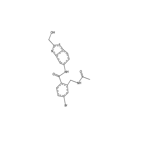 CC(=O)NCc1cc(Br)ccc1C(=O)Nc1ccc2sc(CO)nc2c1